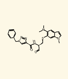 CN(C)c1cc2ccn(C)c2cc1SC[C@@H](C=O)NC(=O)c1cn(Cc2ccccc2)nn1